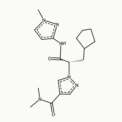 CN(C)C(=O)c1cnn([C@@H](CC2CCCC2)C(=O)Nc2ccn(C)n2)c1